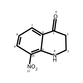 O=C1CCNc2c1cccc2[N+](=O)[O-]